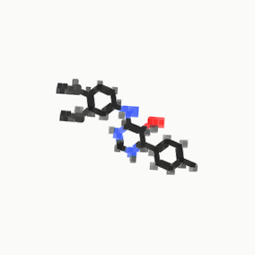 COc1ccc(Nc2ncnc(-c3ccc(C)cc3)c2O)cc1OC